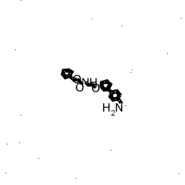 NCc1ccc(-c2cccc(OCCNC(=O)OCc3ccccc3)c2)cc1